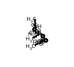 CCCCCN(Cc1ccc(-c2ccccc2S(=O)(=O)NC(=O)NCCCC)cc1)C(=O)N(C)c1cc(NC(=O)CCCC)ccc1Cl